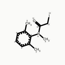 Cc1cccc(C)c1N(C)C(=O)CI